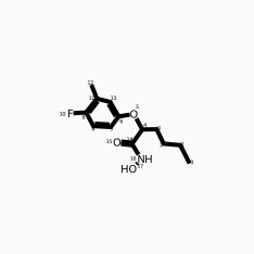 CCCCC(Oc1ccc(F)c(C)c1)C(=O)NO